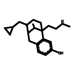 CNCCC12CCN(CC3CC3)C(Cc3ccc(O)cc31)C2C